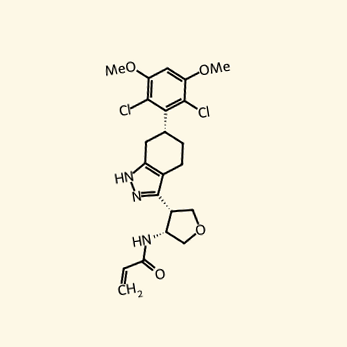 C=CC(=O)N[C@H]1COC[C@H]1c1n[nH]c2c1CC[C@@H](c1c(Cl)c(OC)cc(OC)c1Cl)C2